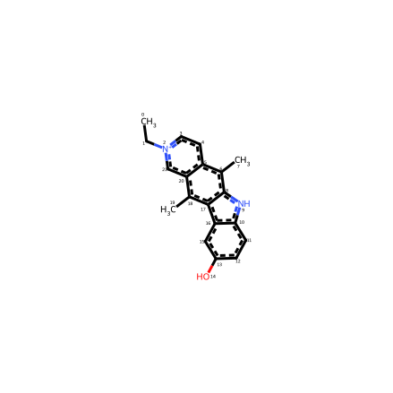 CC[n+]1ccc2c(C)c3[nH]c4ccc(O)cc4c3c(C)c2c1